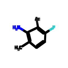 CC(=O)c1c(F)ccc(C)c1N